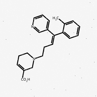 Cc1ccccc1C(=CCCN1CCC=C(C(=O)O)C1)c1cccnc1